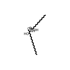 CCCCCCCCCCCCCCCC(O)C(CO)NC(=O)C(O)CCCCCCCCCCCC